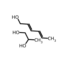 C/C=C/C=C/CO.CC(O)CO